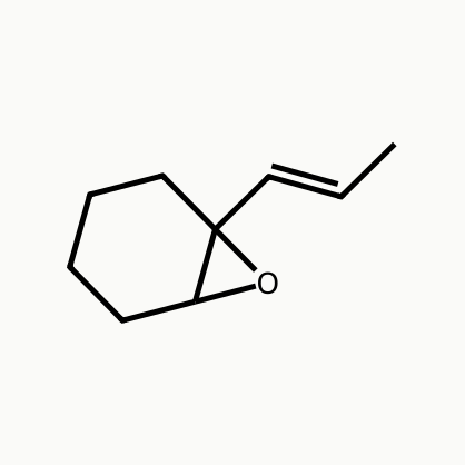 CC=CC12CCCCC1O2